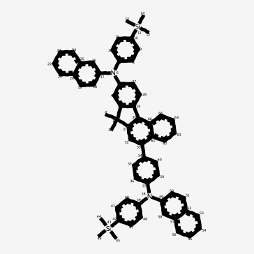 CC1(C)c2cc(N(c3ccc([Si](C)(C)C)cc3)c3ccc4ccccc4c3)ccc2-c2c1cc(-c1ccc(N(c3ccc([Si](C)(C)C)cc3)c3ccc4ccccc4c3)cc1)c1ccccc21